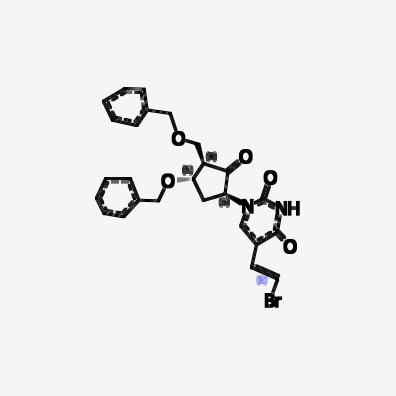 O=C1[C@H](COCc2ccccc2)[C@@H](OCc2ccccc2)C[C@@H]1n1cc(/C=C/Br)c(=O)[nH]c1=O